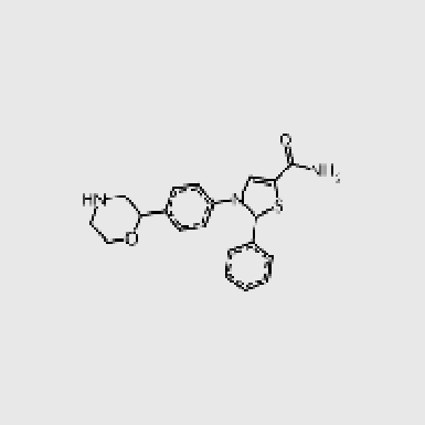 NC(=O)C1=CN(c2ccc(C3CNCCO3)cc2)C(c2ccccc2)S1